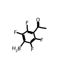 Bc1c(F)c(F)c(C(C)=O)c(F)c1F